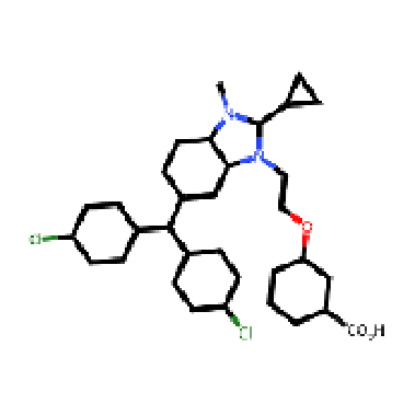 CN1C2CCC(C(C3CCC(Cl)CC3)C3CCC(Cl)CC3)CC2N(CCOC2CCCC(C(=O)O)C2)C1C1CC1